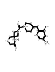 O=C1COCC2(CN(C(=O)N3CCC(Cc4ncc(C(F)(F)F)cc4F)CC3)C2)N1